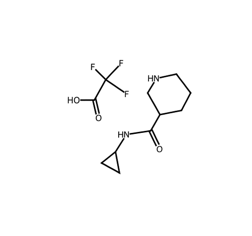 O=C(NC1CC1)C1CCCNC1.O=C(O)C(F)(F)F